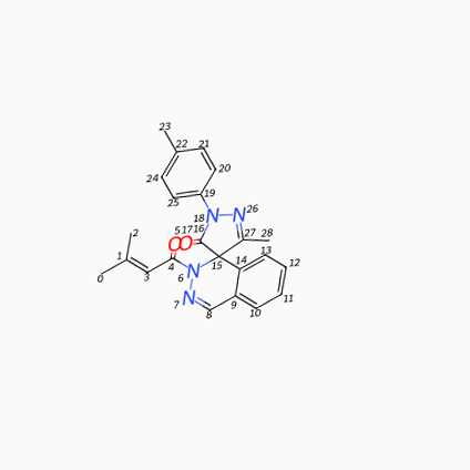 CC(C)=CC(=O)N1N=Cc2ccccc2C12C(=O)N(c1ccc(C)cc1)N=C2C